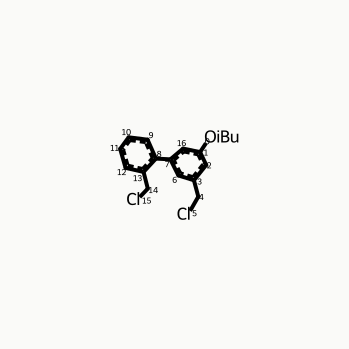 CC(C)COc1cc(CCl)cc(-c2ccccc2CCl)c1